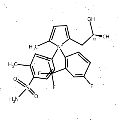 CC1=CC=C(C[C@H](C)O)[N+]1(c1ccc(S(N)(=O)=O)c(C)c1)c1ccc(F)cc1C(F)(F)F